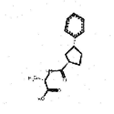 C[C@H](NC(=O)[C@@H]1CC[C@@H](c2ccccc2)C1)C(=O)O